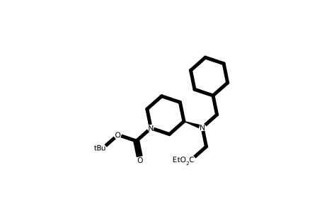 CCOC(=O)CN(CC1CCCCC1)[C@@H]1CCCN(C(=O)OC(C)(C)C)C1